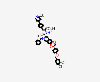 CCc1cc(-c2ccc(CC(NC(=O)[C@@H]3Cc4cc5c(cc4CN3[C@@H](CC)c3ccccc3)O[C@@H](c3ccc(OCc4ccc(Cl)c(Cl)c4)cc3)CO5)C(=O)O)cc2)ccn1